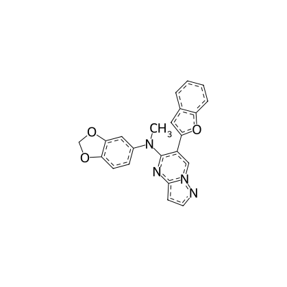 CN(c1ccc2c(c1)OCO2)c1nc2ccnn2cc1-c1cc2ccccc2o1